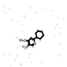 COc1cc(C2CCCCC2)ncc1N